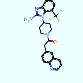 Nc1nc2cccc(C(F)(F)F)c2n1C1CCN(C(=O)Cc2ccc3ncccc3c2)CC1